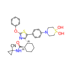 N#CC1(NC(=O)[C@@H]2CCCC[C@H]2c2nc(Oc3ccccc3)sc2-c2ccc(N3CCS(O)(O)CC3)cc2)CC1